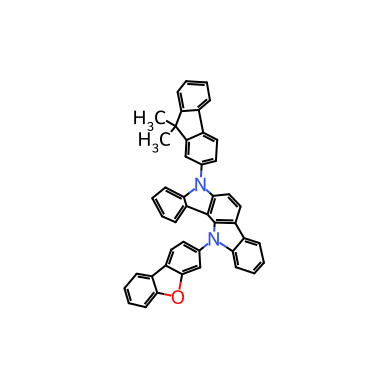 CC1(C)c2ccccc2-c2ccc(-n3c4ccccc4c4c3ccc3c5ccccc5n(-c5ccc6c(c5)oc5ccccc56)c34)cc21